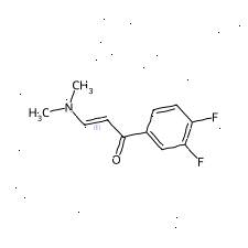 CN(C)/C=C/C(=O)c1ccc(F)c(F)c1